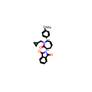 COc1ccc([C@@H]2C=CC[C@H](N3C(=O)c4ccccc4C3=O)C(=O)N2CC2CC2)cc1